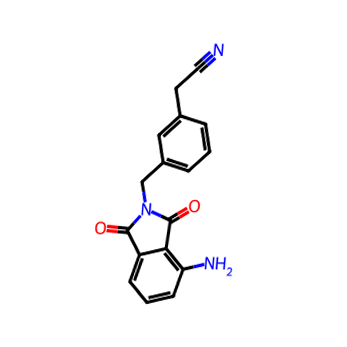 N#CCc1cccc(CN2C(=O)c3cccc(N)c3C2=O)c1